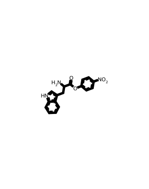 NC(Cc1c[nH]c2ccccc12)C(=O)Oc1ccc([N+](=O)[O-])cc1